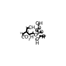 C=CC(CCOP(=O)(OOO)[PH](=O)O)CC(=O)O